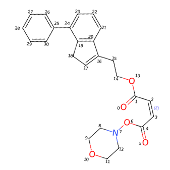 O=C(/C=C\C(=O)ON1CCOCC1)OCCC1=CCc2c1cccc2-c1ccccc1